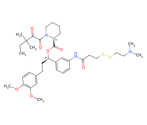 CCC(C)(C)C(=O)C(=O)N1CCCC[C@H]1C(=O)O[C@H](CCc1ccc(OC)c(OC)c1)c1cccc(NC(=O)CCSSCCN(C)C)c1